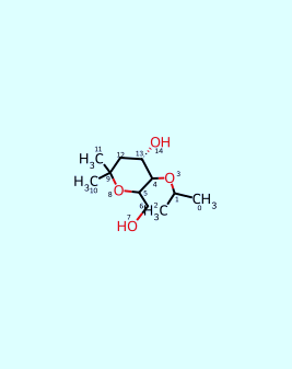 CC(C)OC1C(CO)OC(C)(C)C[C@@H]1O